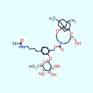 CCC(=O)NCCCCc1ccc(COC(=O)N2CCOC34CC5(C)CC(C)(C3)CC(C5)(C4)O[C@H](CO)CC2)c(O[C@@H]2O[C@H](C(=O)O)[C@@H](O)[C@H](O)[C@H]2O)c1